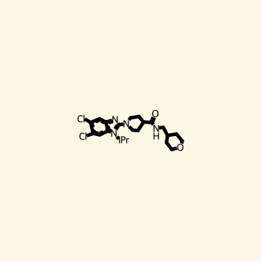 CC(C)n1c(N2CCC(C(=O)NCC3CCOCC3)CC2)nc2cc(Cl)c(Cl)cc21